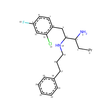 CC(C)CC(N)C(Cc1ccc(F)cc1Cl)NCCCc1ccccc1